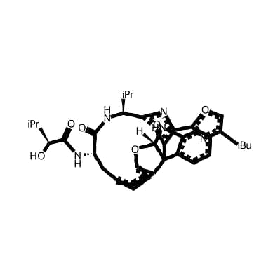 CCC(C)c1coc(-c2nc3oc2C24c5ccccc5N[C@H]2Oc2ccc(cc24)C[C@H](NC(=O)[C@@H](O)C(C)C)C(=O)N[C@H]3C(C)C)n1